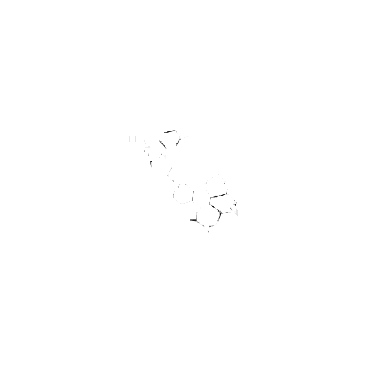 CC(C)(C)N(Cc1cc2c(cn1)OCCO2)C(=O)OC1CCN(CCN2C(=O)NN(O)c3ccc(Cl)cc32)CC1